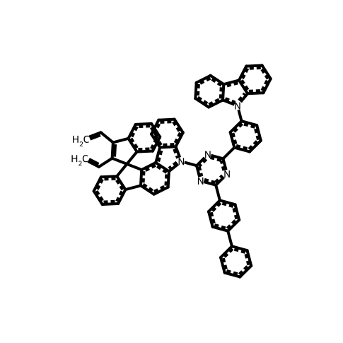 C=CC1=C(C=C)C2(c3ccccc31)c1ccccc1-c1ccc3c(c12)c1ccccc1n3-c1nc(-c2ccc(-c3ccccc3)cc2)nc(-c2cccc(-n3c4ccccc4c4ccccc43)c2)n1